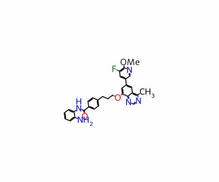 COc1ncc(-c2cc(OCCCc3ccc(C(=O)Nc4ccccc4N)cc3)c3ncnc(C)c3c2)cc1F